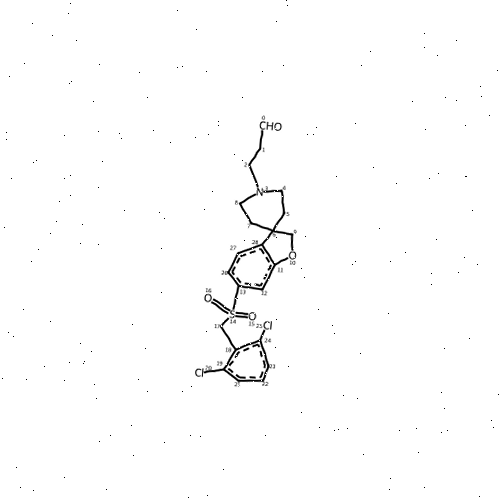 O=CCCN1CCC2(CC1)COc1cc(S(=O)(=O)Cc3c(Cl)cccc3Cl)ccc12